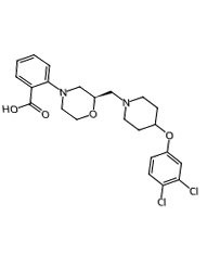 O=C(O)c1ccccc1N1CCO[C@H](CN2CCC(Oc3ccc(Cl)c(Cl)c3)CC2)C1